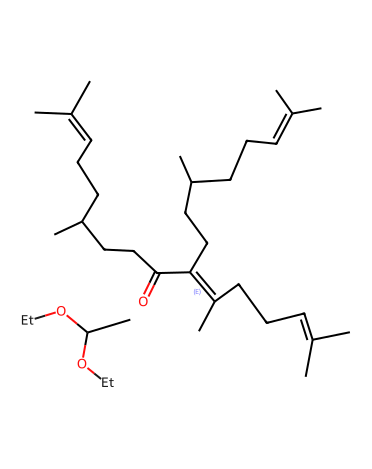 CC(C)=CCC/C(C)=C(\CCC(C)CCC=C(C)C)C(=O)CCC(C)CCC=C(C)C.CCOC(C)OCC